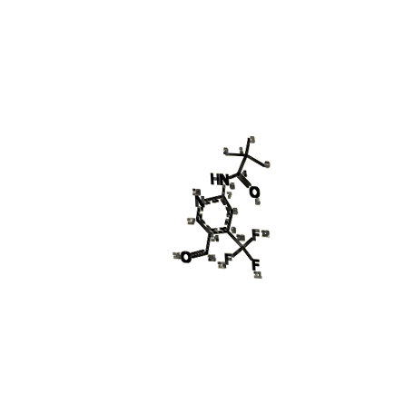 CC(C)(C)C(=O)Nc1cc(C(F)(F)F)c(C=O)cn1